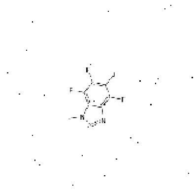 Cn1cnc2c(F)c(I)c(F)c(F)c21